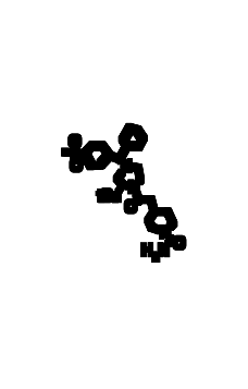 CC(C)(C)[C@H]1CN(C(c2ccccc2)c2ccc(S(C)(=O)=O)cc2)CCN1C(=O)CC1CCN(C(N)=O)CC1